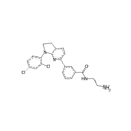 NCCNC(=O)c1cccc(-c2ccc3c(n2)N(c2ccc(Cl)cc2Cl)CC3)c1